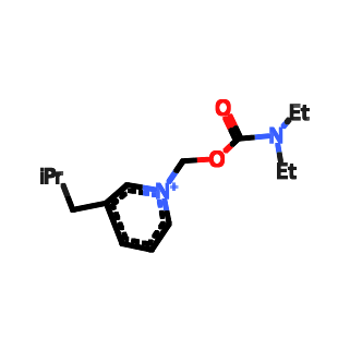 CCN(CC)C(=O)OC[n+]1cccc(CC(C)C)c1